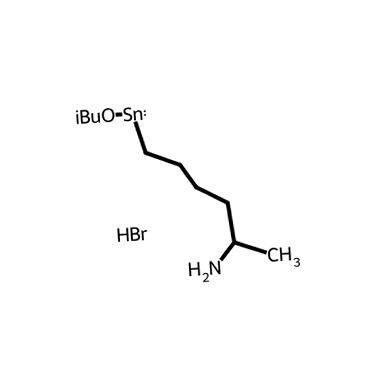 Br.CC(C)C[O][Sn][CH2]CCCC(C)N